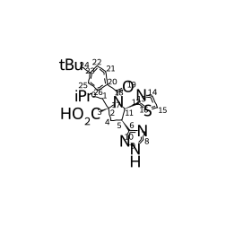 CC(C)C[C@@]1(C(=O)O)C[C@H](c2nc[nH]n2)[C@H](c2nccs2)N1C(=O)c1ccc(C(C)(C)C)cc1